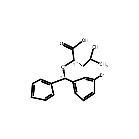 CC(C)C[C@H](O[C@H](c1ccccc1)c1cccc(Br)c1)C(=O)O